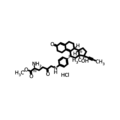 CC#C[C@]1(O)CC[C@H]2[C@@H]3CCC4=CC(=O)CCC4=C3[C@@H](c3ccc(NCC(=O)CC[C@H](N)C(=O)OC)cc3)C[C@@]21C.Cl